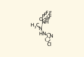 CCN(CCNC(=O)C(F)(F)C(F)(F)C(F)(F)F)CCNc1ccnc2cc(Cl)ccc12